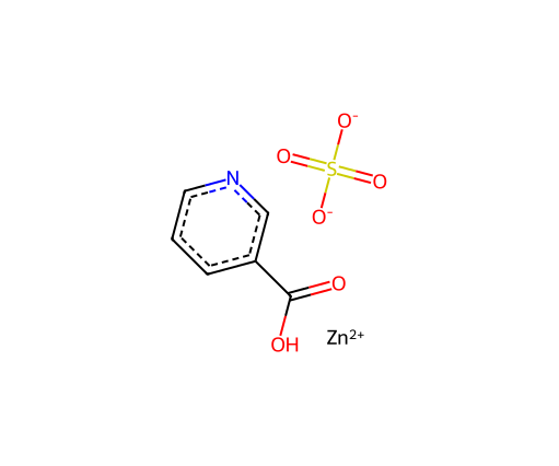 O=C(O)c1cccnc1.O=S(=O)([O-])[O-].[Zn+2]